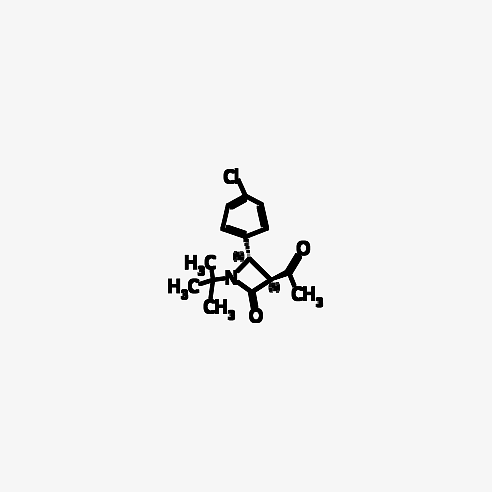 CC(=O)[C@H]1C(=O)N(C(C)(C)C)[C@@H]1c1ccc(Cl)cc1